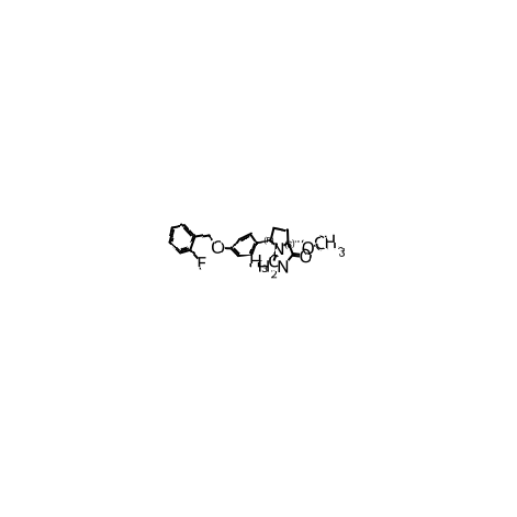 COC[C@@]1(C(N)=O)CC[C@H](c2ccc(OCc3ccccc3F)cc2)N1C